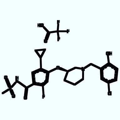 CS(=O)(=O)NC(=O)c1cc(C2CC2)c(O[C@@H]2CCCN(Cc3cc(Cl)ccc3O)C2)cc1F.O=C(O)C(F)(F)F